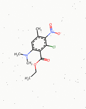 CCOC(=O)c1c(N(C)C)cc(C)c([N+](=O)[O-])c1Cl